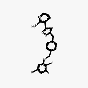 Nc1ncccc1-c1cc(Cc2ccc(COc3cc(F)cc(F)c3F)cc2)no1